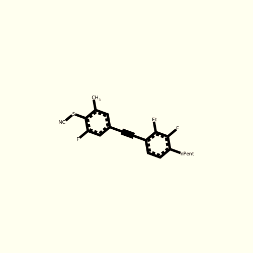 CCCCCc1ccc(C#Cc2cc(C)c(SC#N)c(F)c2)c(CC)c1F